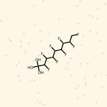 OC(O)(O)C(F)C(F)C(F)C(F)C(F)C(F)C(F)CF